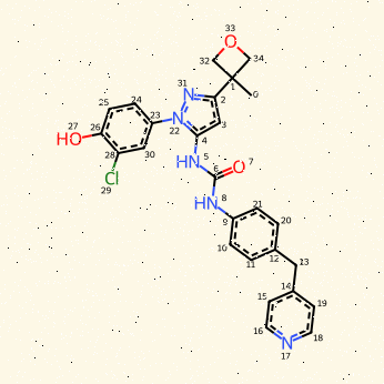 CC1(c2cc(NC(=O)Nc3ccc(Cc4ccncc4)cc3)n(-c3ccc(O)c(Cl)c3)n2)COC1